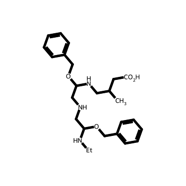 CCNC(CNCC(NCC(C)CC(=O)O)OCc1ccccc1)OCc1ccccc1